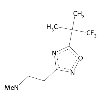 CNCCc1noc(C(C)(C)C(F)(F)F)n1